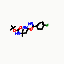 CC(C)(CC(=N)OC(=N)C1=CC=C(F)CC1)NC(=O)OC(C)(C)C